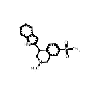 CN1Cc2cc(S(C)(=O)=O)ccc2C(c2cc3ccccc3[nH]2)C1